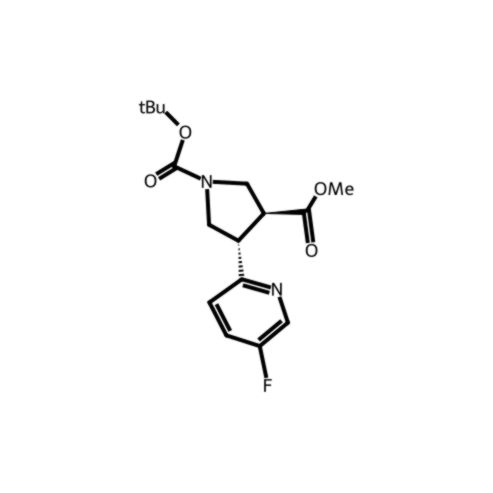 COC(=O)[C@@H]1CN(C(=O)OC(C)(C)C)C[C@H]1c1ccc(F)cn1